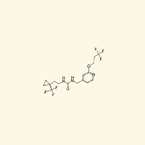 O=C(NCCC1(C(F)(F)F)CC1)NCc1ccnc(OCCC(F)(F)F)c1